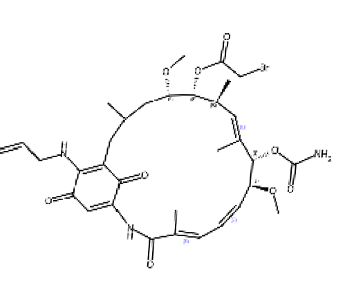 C=CCNC1=C2CC(C)C[C@H](OC)[C@H](OC(=O)CBr)[C@@H](C)/C=C(\C)[C@H](OC(N)=O)[C@@H](OC)/C=C\C=C(/C)C(=O)NC(=CC1=O)C2=O